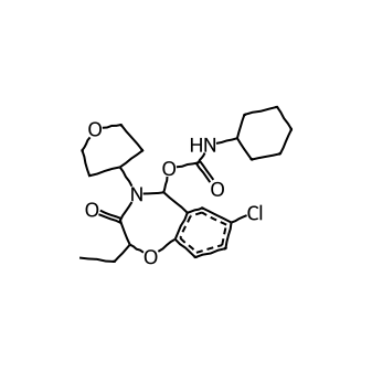 CCC1Oc2ccc(Cl)cc2C(OC(=O)NC2CCCCC2)N(C2CCOCC2)C1=O